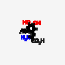 N[C@@H](Cc1ccc(O)c(O)c1)C(=O)O.[Al].[Y]